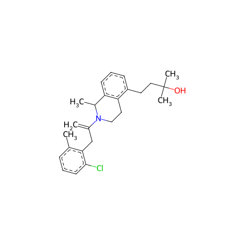 C=C(Cc1c(C)cccc1Cl)N1CCc2c(CCC(C)(C)O)cccc2C1C